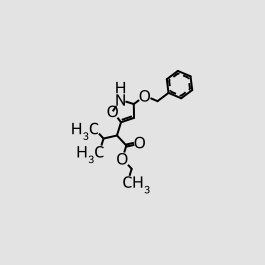 CCOC(=O)C(C1=CC(OCc2ccccc2)NO1)C(C)C